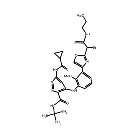 BC(B)(B)NC(=O)c1nnc(NC(=O)C2CC2)cc1Nc1cccc(-c2noc(C(CC)C(=O)NCCOC)n2)c1OC